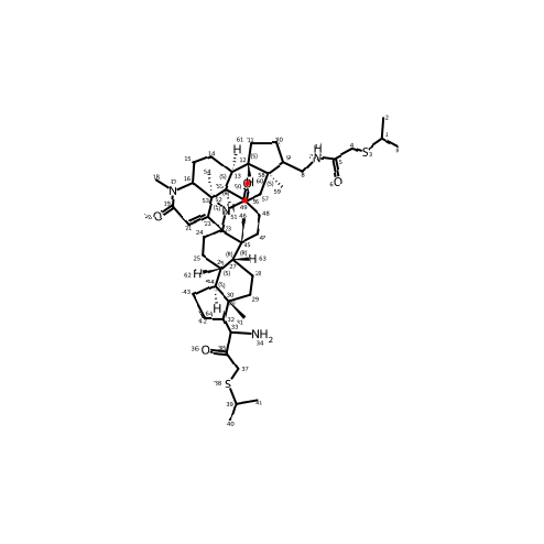 CC(C)SCC(=O)NCC1CC[C@H]2[C@@H]3CCC4N(C)C(=O)C=C(C56CC[C@@H]7[C@@H](CC[C@]8(C)C(C(N)C(=O)CSC(C)C)CC[C@@H]78)[C@@]5(C)CCC(=O)N6C)[C@]4(C)[C@@H]3CC[C@]12C